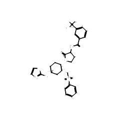 O=C(NC1CCN([C@H]2CC[C@@H](Nc3nccs3)C[C@@H]2CS(=O)(=O)c2ccccc2)C1=O)c1cccc(C(F)(F)F)c1